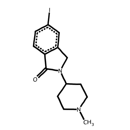 CN1CCC(N2Cc3cc(I)ccc3C2=O)CC1